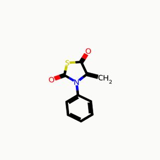 C=C1C(=O)SC(=O)N1c1ccccc1